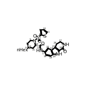 CCCCCCN1CCN(S(=O)(=O)c2cccs2)[C@H](C(=O)Nc2ccc3[nH]c4c(c3c2)CCNC4=O)C1